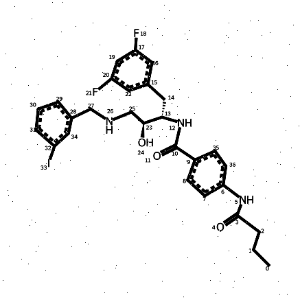 CCCC(=O)Nc1ccc(C(=O)N[C@@H](Cc2cc(F)cc(F)c2)[C@@H](O)CNCc2cccc(I)c2)cc1